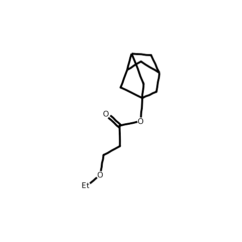 CCOCCC(=O)OC12CC3CC(C1)C(C3)C2